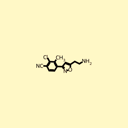 Cc1c(-c2cc(CCN)on2)ccc(C#N)c1Cl